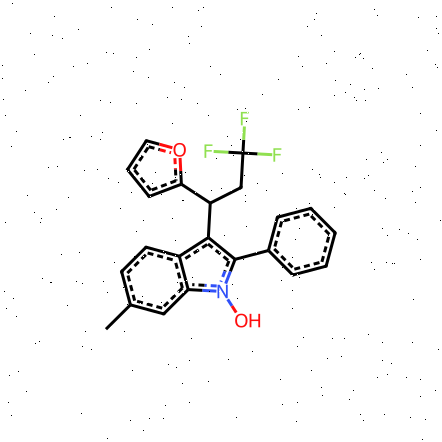 Cc1ccc2c(C(CC(F)(F)F)c3ccco3)c(-c3ccccc3)n(O)c2c1